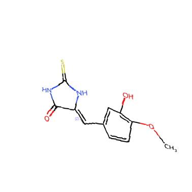 COc1ccc(/C=C2\NC(=S)NC2=O)cc1O